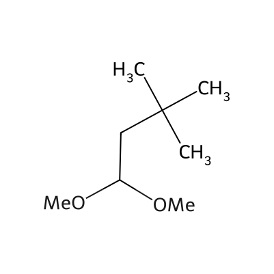 COC(CC(C)(C)C)OC